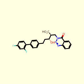 O=C(O)[C@@H](Cn1nnc2ccccc2c1=O)[C@H](O)CCc1ccc(-c2ccc(F)cc2F)cc1